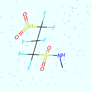 CNS(=O)(=O)C(F)(F)C(F)(F)C(F)(F)[SH](=O)=O